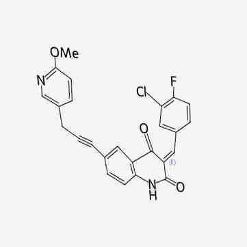 COc1ccc(CC#Cc2ccc3c(c2)C(=O)/C(=C\c2ccc(F)c(Cl)c2)C(=O)N3)cn1